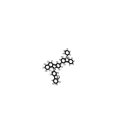 c1ccc(-n2c3ccccc3c3cc(-c4ccc5c(c4)c4ccc6ccccc6c4n5-c4ccc5c(c4)oc4ccccc45)ccc32)cc1